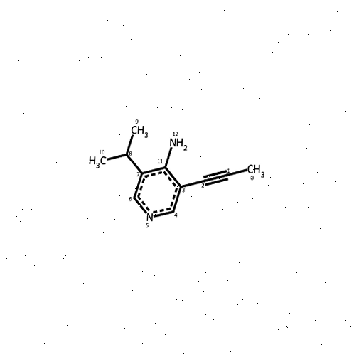 CC#Cc1cncc(C(C)C)c1N